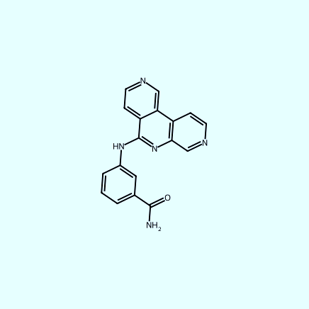 NC(=O)c1cccc(Nc2nc3cnccc3c3cnccc23)c1